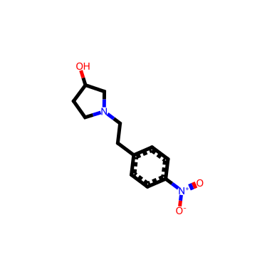 O=[N+]([O-])c1ccc(CCN2CCC(O)C2)cc1